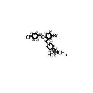 CN(C)CC1(O)CCN(Cc2cc(Br)ccc2OCc2ccc(Cl)cc2)CC1